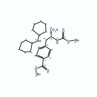 C1CCC(NC2CCCCC2)CC1.CC(C)(C)OC(=O)N[C@@H](Cc1ccc(C(=O)OC(C)(C)C)cc1)C(=O)O